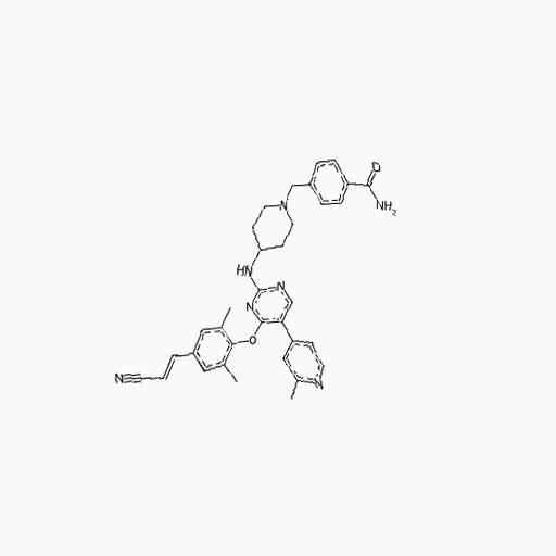 Cc1cc(-c2cnc(NC3CCN(Cc4ccc(C(N)=O)cc4)CC3)nc2Oc2c(C)cc(/C=C/C#N)cc2C)ccn1